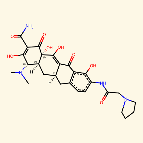 CN(C)[C@@H]1C(O)=C(C(N)=O)C(=O)[C@@]2(O)C(O)=C3C(=O)c4c(ccc(NC(=O)CN5CCCC5)c4O)C[C@H]3C[C@@H]12